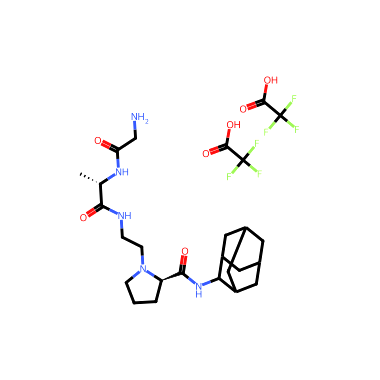 C[C@H](NC(=O)CN)C(=O)NCCN1CCC[C@@H]1C(=O)NC1C2CC3CC(C2)CC1C3.O=C(O)C(F)(F)F.O=C(O)C(F)(F)F